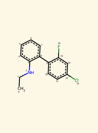 CCNc1ccccc1-c1ccc(Cl)cc1F